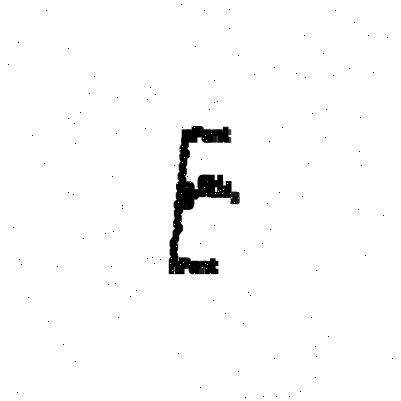 CCCCCC=CCC=CCCCCCCCCC(CCCCCCCCC=CCC=CCCCCC)OC(=O)C=CCN(C)C